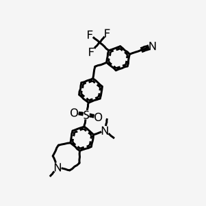 CN1CCc2cc(N(C)C)c(S(=O)(=O)c3ccc(Cc4ccc(C#N)cc4C(F)(F)F)cc3)cc2CC1